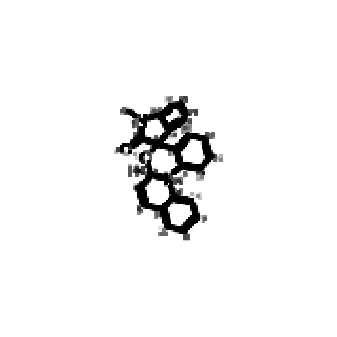 CN1C(=O)[C@]2(O[C@@H]3C=Cc4ccccc4N3c3ccccc32)c2ccccc21